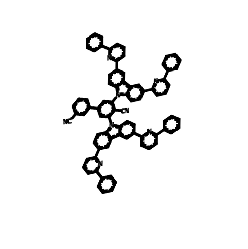 N#Cc1cccc(-c2cc(-n3c4ccc(-c5cccc(-c6ccccc6)n5)cc4c4cc(-c5cccc(-c6ccccc6)n5)ccc43)c(C#N)c(-n3c4ccc(-c5cccc(-c6ccccc6)n5)cc4c4cc(-c5cccc(-c6ccccc6)n5)ccc43)c2)c1